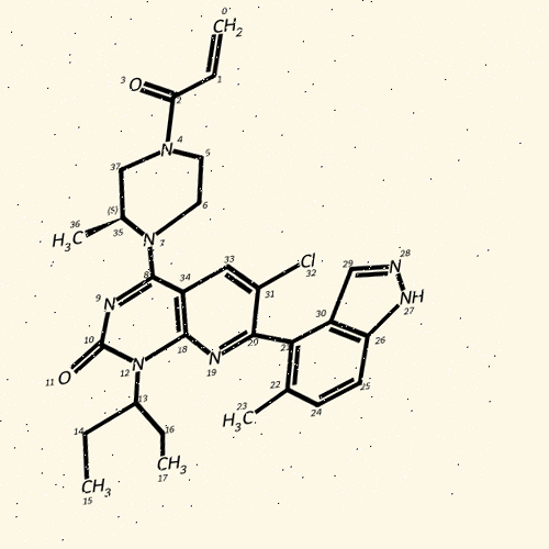 C=CC(=O)N1CCN(c2nc(=O)n(C(CC)CC)c3nc(-c4c(C)ccc5[nH]ncc45)c(Cl)cc23)[C@@H](C)C1